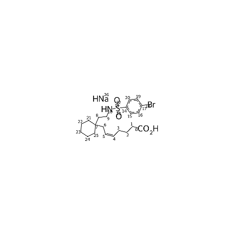 O=C(O)CCC/C=C\CC1(CCNS(=O)(=O)c2ccc(Br)cc2)CCCCC1.[NaH]